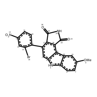 COc1ccc2[nH]c3cc(-c4ccc([N+](=O)[O-])cc4Br)c4c(c3c2c1)C(=O)NC4=O